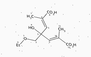 CCOCC(O)(C=C(C)C(=O)O)C=C(C)C(=O)O